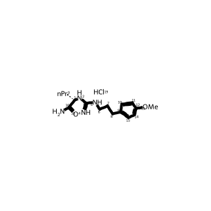 CCC[C@H](NC(=N)NCCCc1ccc(OC)cc1)C(N)=O.Cl